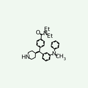 CCN(CC)C(=O)c1ccc(C(=C2CCNCC2)c2cccc(N(C)c3ccccc3)c2)cc1